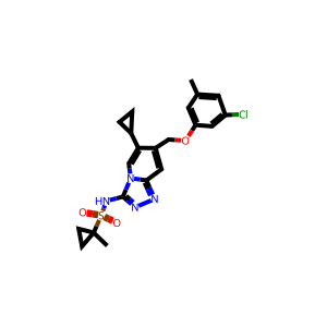 Cc1cc(Cl)cc(OCc2cc3nnc(NS(=O)(=O)C4(C)CC4)n3cc2C2CC2)c1